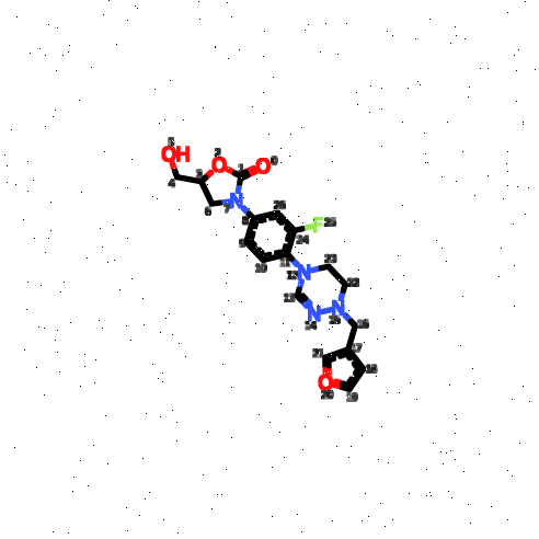 O=C1OC(CO)CN1c1ccc(N2C=NN(Cc3ccoc3)CC2)c(F)c1